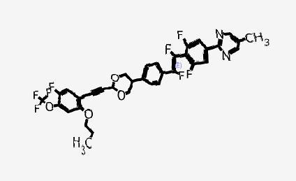 CCCOc1cc(OC(F)(F)F)c(F)cc1C#CC1OCC(c2ccc(/C(F)=C(\F)c3c(F)cc(-c4ncc(C)cn4)cc3F)cc2)CO1